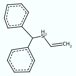 C=C[SiH2]C(c1ccccc1)c1ccccc1